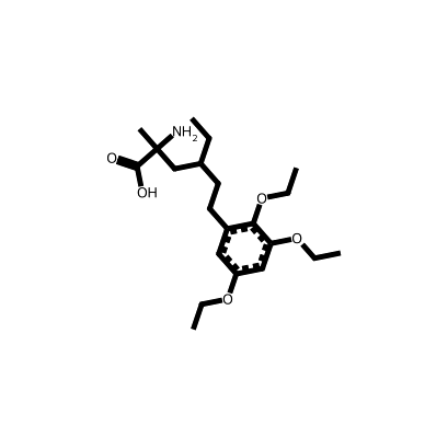 CCOc1cc(CCC(CC)CC(C)(N)C(=O)O)c(OCC)c(OCC)c1